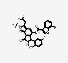 Cn1nc2c3c(c(NC(=O)c4csc5c(F)cccc45)cc2c1CC(F)F)C(c1cc(F)ccc1Cl)NC3=O